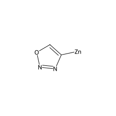 [Zn][c]1conn1